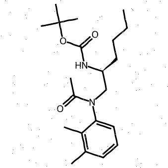 CCCC[C@@H](CN(C(C)=O)c1cccc(C)c1C)NC(=O)OC(C)(C)C